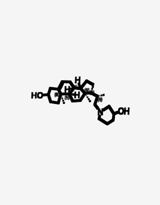 C[C@H](CN1CCCC(O)C1)[C@H]1CC[C@H]2[C@@H]3CC=C4CC(O)CC[C@]4(C)[C@H]3CC[C@]12C